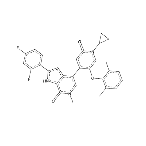 Cc1cccc(C)c1Oc1cn(C2CC2)c(=O)cc1-c1cn(C)c(=O)c2[nH]c(-c3ccc(F)cc3F)cc12